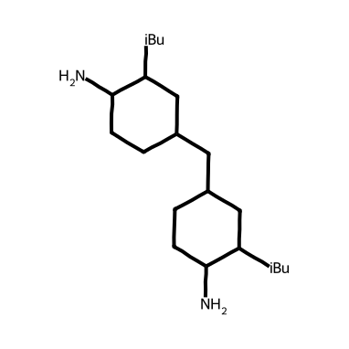 CCC(C)C1CC(CC2CCC(N)C(C(C)CC)C2)CCC1N